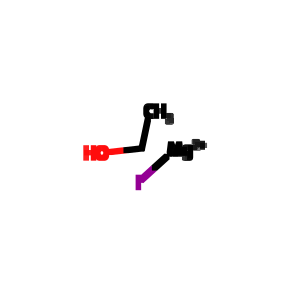 CCO.[Mg+2][I]